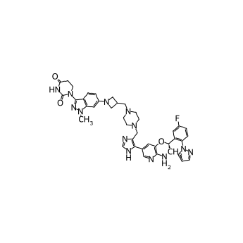 C[C@@H](Oc1cc(-c2[nH]cnc2CN2CCN(CC3CN(c4ccc5c(N6CCC(=O)NC6=O)nn(C)c5c4)C3)CC2)cnc1N)c1cc(F)ccc1-n1cccn1